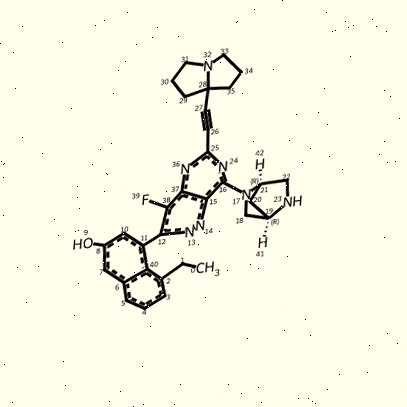 CCc1cccc2cc(O)cc(-c3nnc4c(N5C[C@H]6C[C@@H]5CN6)nc(C#CC56CCCN5CCC6)nc4c3F)c12